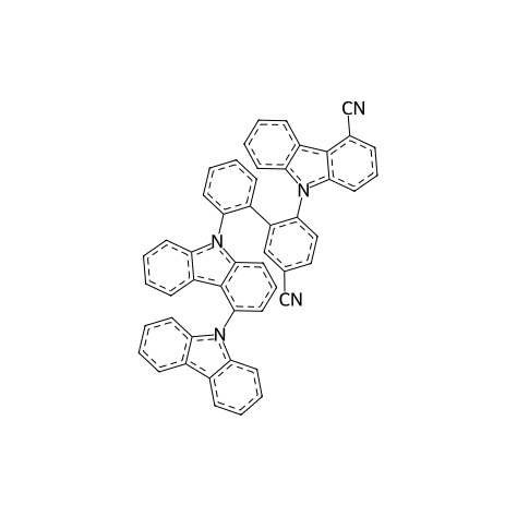 N#Cc1ccc(-n2c3ccccc3c3c(C#N)cccc32)c(-c2ccccc2-n2c3ccccc3c3c(-n4c5ccccc5c5ccccc54)cccc32)c1